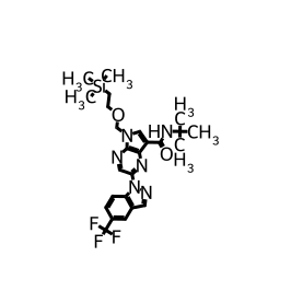 CC(C)(C)NC(=O)c1cn(COCC[Si](C)(C)C)c2ncc(-n3ncc4cc(C(F)(F)F)ccc43)nc12